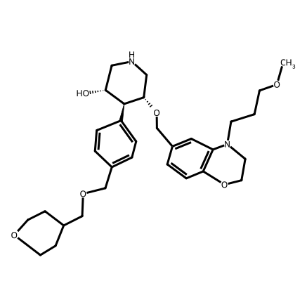 COCCCN1CCOc2ccc(CO[C@H]3CNC[C@@H](O)[C@@H]3c3ccc(COCC4CCOCC4)cc3)cc21